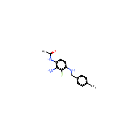 CC(C)C(=O)Nc1ccc(NCc2ccc(C(F)(F)F)cc2)c(F)c1N